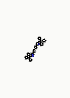 C(=C(\B(c1ccccc1)c1ccccc1)c1ccccc1)/c1ccc(-c2ccc(-c3ccc(-c4ccc(/C=C(/B(c5ccccc5)c5ccccc5)c5ccccc5)nc4)cc3)cc2)cn1